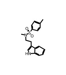 Cc1ccc(S(=O)(=O)N(C)CCc2c[nH]c3ccccc23)cc1